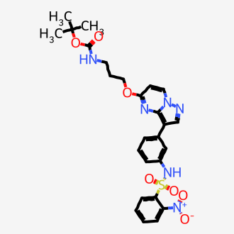 CC(C)(C)OC(=O)NCCCOc1ccn2ncc(-c3cccc(NS(=O)(=O)c4ccccc4[N+](=O)[O-])c3)c2n1